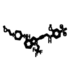 COCCN1CCC(Nc2cccc3c2cc(C#CCNc2ccc(S(C)(=O)=O)cc2OC)n3CC(F)(F)F)CC1